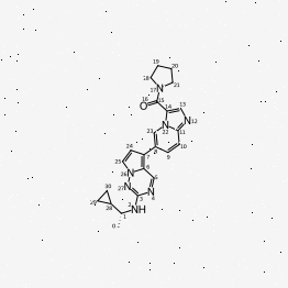 C[C@@H](Nc1ncc2c(-c3ccc4ncc(C(=O)N5CCCC5)n4c3)ccn2n1)C1CC1